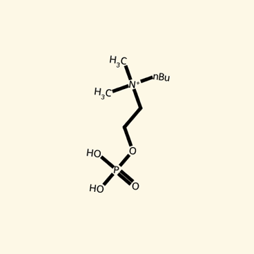 CCCC[N+](C)(C)CCOP(=O)(O)O